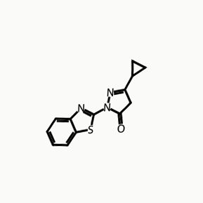 O=C1CC(C2CC2)=NN1c1nc2ccccc2s1